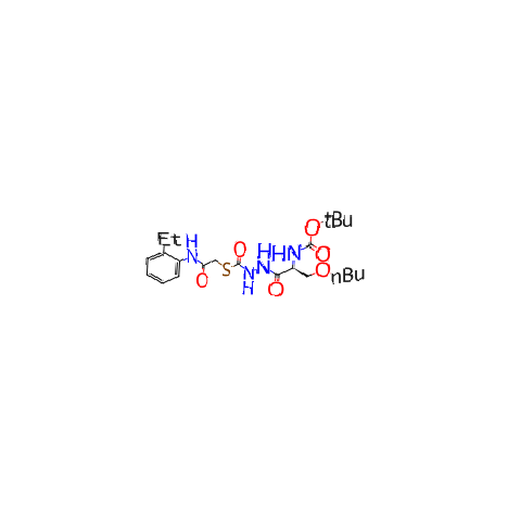 CCCCOC[C@H](NC(=O)OC(C)(C)C)C(=O)NNC(=O)SCC(=O)Nc1ccccc1CC